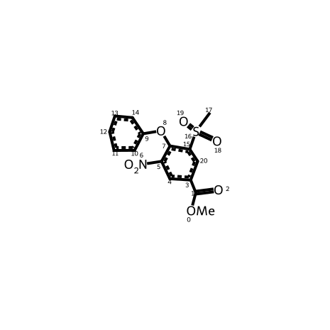 COC(=O)c1cc([N+](=O)[O-])c(Oc2ccccc2)c(S(C)(=O)=O)c1